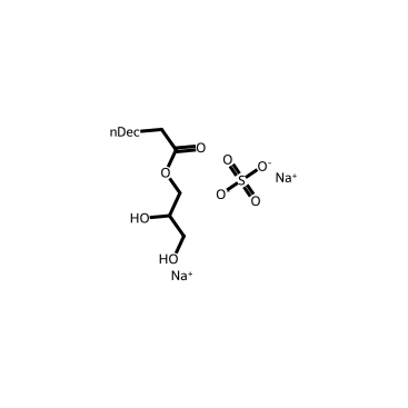 CCCCCCCCCCCC(=O)OCC(O)CO.O=S(=O)([O-])[O-].[Na+].[Na+]